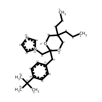 CCCC1(CCC)COC(Cc2ccc(C(C)(C)C)cc2)(Cn2ccnc2)OC1